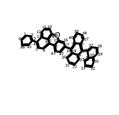 c1ccc(-c2ccc3c4c(cccc24)Oc2cc(-c4c5ccccc5c(-c5cccc6ccccc56)c5ccccc45)ccc2-3)cc1